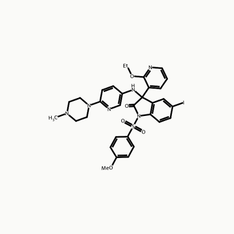 CCOc1ncccc1C1(Nc2ccc(N3CCN(C)CC3)nc2)C(=O)N(S(=O)(=O)c2ccc(OC)cc2)c2ccc(I)cc21